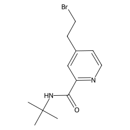 CC(C)(C)NC(=O)c1cc(CCBr)ccn1